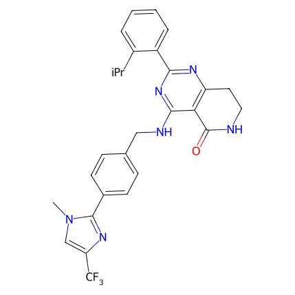 CC(C)c1ccccc1-c1nc2c(c(NCc3ccc(-c4nc(C(F)(F)F)cn4C)cc3)n1)C(=O)NCC2